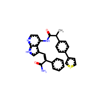 CC(C(=O)Nc1ccnc2[nH]cc(/C=C(\C(N)=O)c3ccccc3)c12)c1ccc(-c2ccsc2)cc1